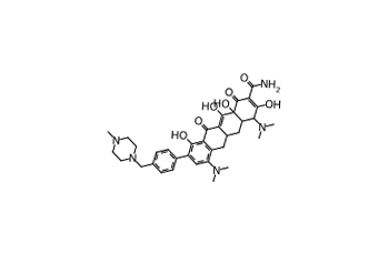 CN1CCN(Cc2ccc(-c3cc(N(C)C)c4c(c3O)C(=O)C3=C(O)C5(O)C(=O)C(C(N)=O)=C(O)C(N(C)C)C5CC3C4)cc2)CC1